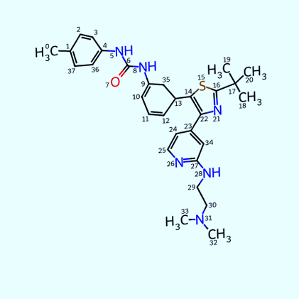 Cc1ccc(NC(=O)NC2=CC=CC(c3sc(C(C)(C)C)nc3-c3ccnc(NCCN(C)C)c3)C2)cc1